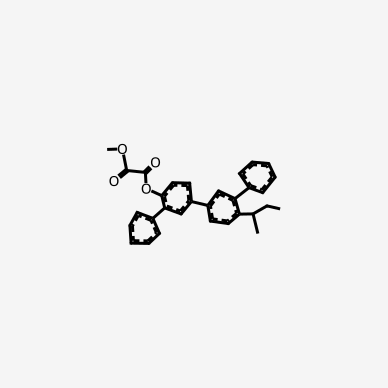 CCC(C)c1ccc(-c2ccc(OC(=O)C(=O)OC)c(-c3ccccc3)c2)cc1-c1ccccc1